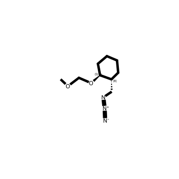 COCO[C@H]1CCCC[C@@H]1CN=[N+]=[N-]